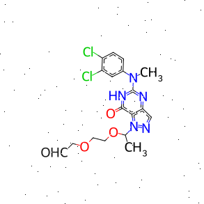 CC(OCCOCC=O)n1ncc2nc(N(C)c3ccc(Cl)c(Cl)c3)[nH]c(=O)c21